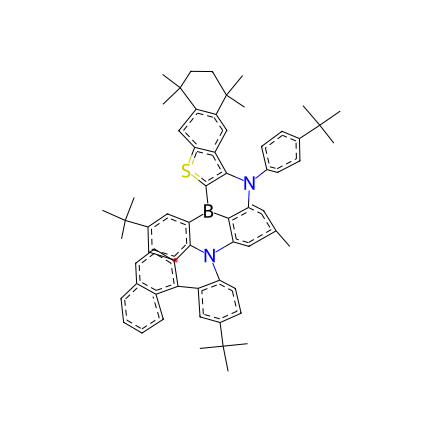 Cc1cc2c3c(c1)N(c1ccc(C(C)(C)C)cc1)c1c(sc4cc5c(cc14)C(C)(C)CCC5(C)C)B3c1cc(C(C)(C)C)ccc1N2c1ccc(C(C)(C)C)cc1-c1cccc2ccccc12